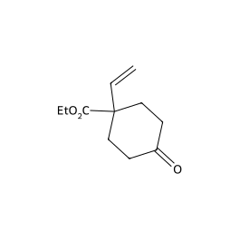 C=CC1(C(=O)OCC)CCC(=O)CC1